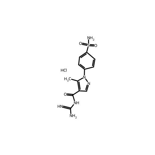 Cc1c(C(=O)NC(=N)N)cnn1-c1ccc(S(N)(=O)=O)cc1.Cl